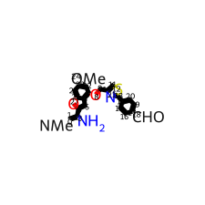 CN/C=C(\N)c1cc2c(OCc3csc(-c4ccc(C=O)cc4)n3)cc(OC)cc2o1